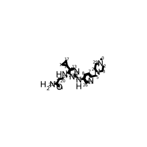 CN1CCN(Cc2ccc(Nc3ncc(C4CC4)c(NCCC(N)=O)n3)cn2)CC1